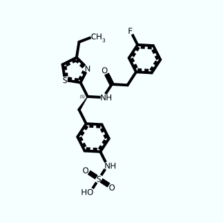 CCc1csc([C@H](Cc2ccc(NS(=O)(=O)O)cc2)NC(=O)Cc2cccc(F)c2)n1